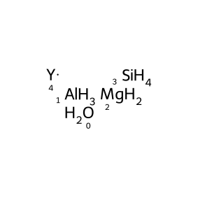 O.[AlH3].[MgH2].[SiH4].[Y]